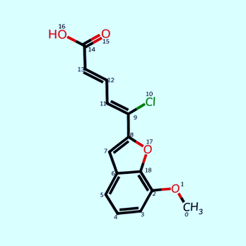 COc1cccc2cc(/C(Cl)=C/C=C/C(=O)O)oc12